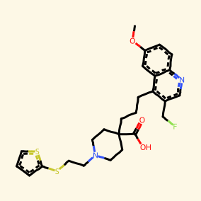 COc1ccc2ncc(CF)c(CCCC3(C(=O)O)CCN(CCSc4cccs4)CC3)c2c1